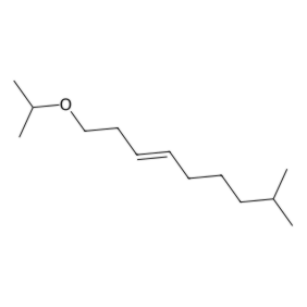 CC(C)CCCC=CCCOC(C)C